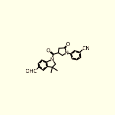 CC1(C)CN(C(=O)C2CC(=O)N(c3cccc(C#N)c3)C2)c2ccc(C=O)cc21